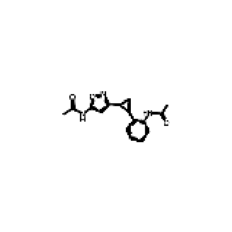 CC(=O)Nc1cc(C2CC2c2ccccc2NC(C)=O)no1